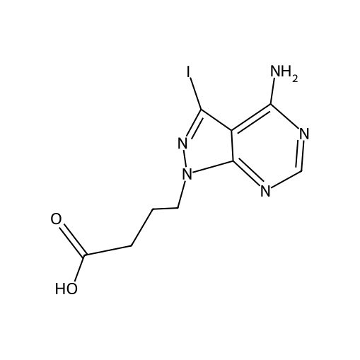 Nc1ncnc2c1c(I)nn2CCCC(=O)O